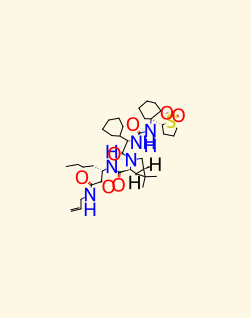 C=CCNC(=O)C(=O)[C@H](CCCC)NC(=O)[C@@H]1[C@@H]2[C@H](CN1C(=O)[C@@H](NC(=O)NC1([C@H]3CCCS3(=O)=O)CCCCC1)C1CCCCC1)C2(C)C